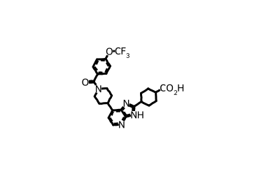 O=C(O)C1CCC(c2nc3c(C4CCN(C(=O)c5ccc(OC(F)(F)F)cc5)CC4)ccnc3[nH]2)CC1